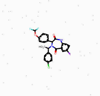 O=C(O)C(c1ccc(Cl)cc1)N1C(=O)c2cc(I)ccc2NC(=O)C1c1ccc(OC(F)F)cc1